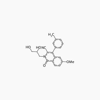 COc1ccc2c(=O)n(CC(O)CO)c(C#N)c(-c3cccc(C)c3)c2c1